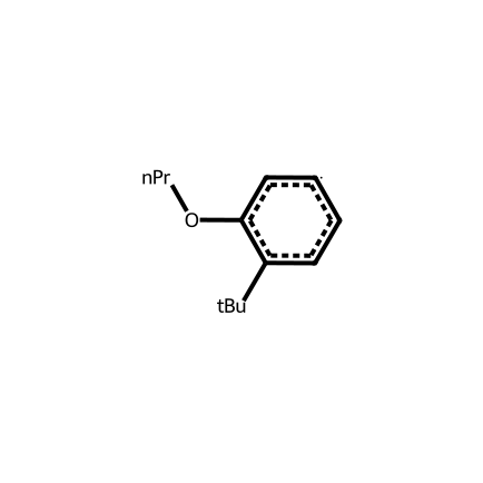 CCCOc1c[c]ccc1C(C)(C)C